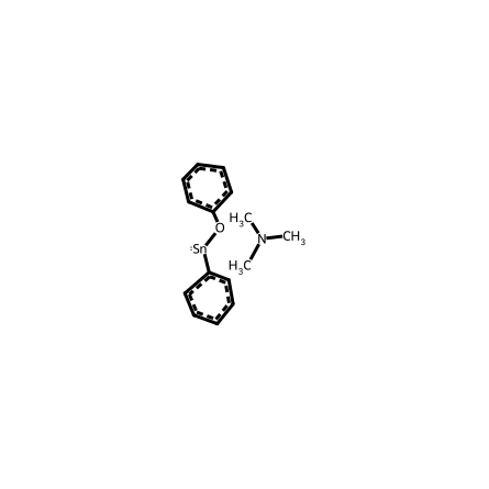 CN(C)C.c1ccc([O][Sn][c]2ccccc2)cc1